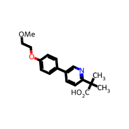 COCCOc1ccc(-c2ccc(C(C)(C)C(=O)O)nc2)cc1